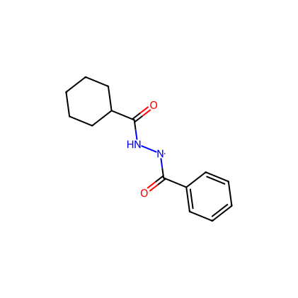 O=C([N]NC(=O)C1CCCCC1)c1ccccc1